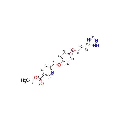 CCOC(=O)c1ccc(COc2ccc(OCCCc3ncn[nH]3)cc2)nc1